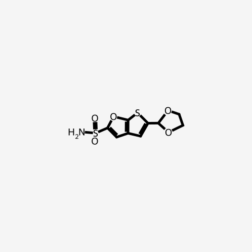 NS(=O)(=O)c1cc2cc(C3OCCO3)sc2o1